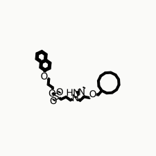 CN1NN(CCCS(=O)(=O)OCCCOc2ccc3ccccc3c2)CC1COCC1CCCCCCCCCCC1